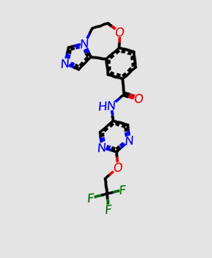 O=C(Nc1cnc(OCC(F)(F)F)nc1)c1ccc2c(c1)-c1cncn1CCO2